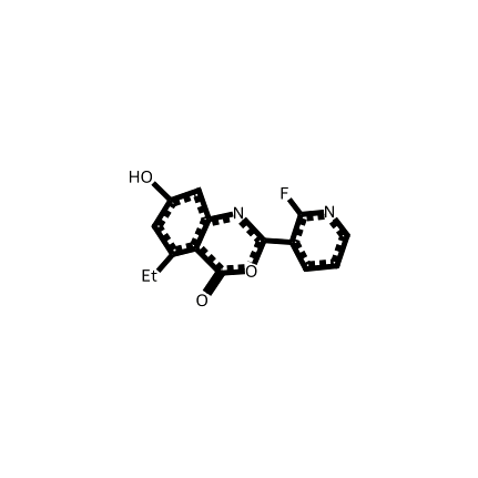 CCc1cc(O)cc2nc(-c3cccnc3F)oc(=O)c12